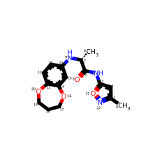 Cc1cc(NC(=O)[C@@H](C)Nc2ccc3c(c2)OCCCO3)on1